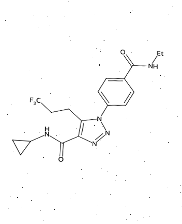 CCNC(=O)c1ccc(-n2nnc(C(=O)NC3CC3)c2CCC(F)(F)F)cc1